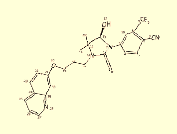 C=C1N(c2ccc(C#N)c(C(F)(F)F)c2)[C@H](O)C(C)(C)N1CCCOc1ccc2cccnc2c1